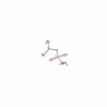 NS(=O)(=O)CC(Br)Br